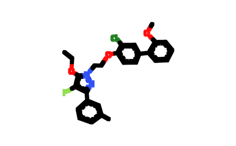 CCOc1c(F)c(-c2cccc(C)c2)nn1CCOc1ccc(-c2ccccc2OC)cc1Cl